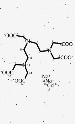 O=C([O-])CN(CCN(CC(=O)[O-])CC(=O)[O-])CCN(CC(=O)[O-])CC(=O)[O-].[Gd+3].[Na+].[Na+]